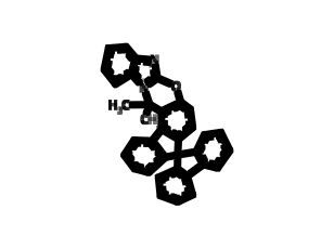 CC1(C)c2c(ccc3c2-c2ccccc2C32c3ccccc3-c3ccccc32)Oc2nc3ccccc3n21